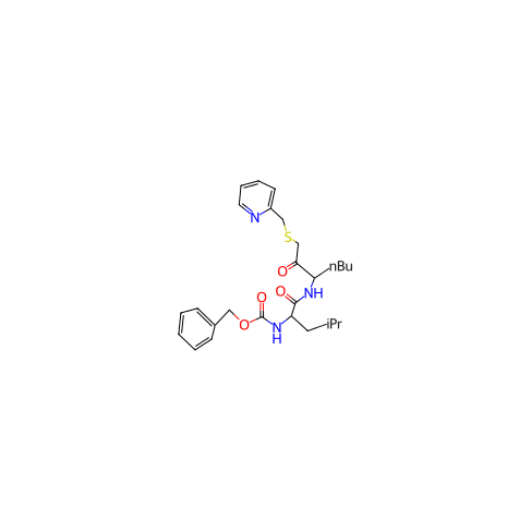 CCCCC(NC(=O)C(CC(C)C)NC(=O)OCc1ccccc1)C(=O)CSCc1ccccn1